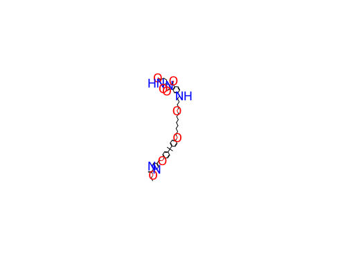 C=C(OCC)c1ncc(COc2ccc(C(C)(C)c3ccc(OCCCCCCCCOCCCCNc4ccc5c(c4)C(=O)N(C4CCC(=O)NC4=O)C5=O)cc3)cc2)cn1